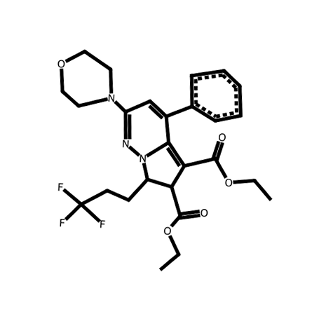 CCOC(=O)C1=C2C(c3ccccc3)=CC(N3CCOCC3)=NN2C(CCC(F)(F)F)C1C(=O)OCC